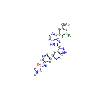 COc1cc(F)cc(-c2nccc3[nH]c(-c4n[nH]c5cnc(-c6cncc(NC(=O)CN(C)C)c6)cc45)nc23)c1